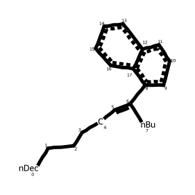 CCCCCCCCCCCCCCC=C(CCCC)c1cccc2ccccc12